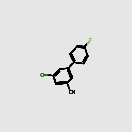 N#Cc1cc(Cl)cc(-c2ccc(F)cc2)c1